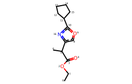 CCOC(=O)C(C)c1coc(C2CCCC2)n1